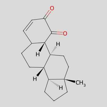 C[C@@]12CCC[C@H]1[C@@H]1CCC3C=CC(=O)C(=O)[C@@H]3[C@H]1CC2